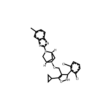 Cc1ccc2nc(N3C[C@@H]4C[C@H]3C[C@H]4OCC3=C(C4CC4)ONC3c3c(Cl)cccc3Cl)sc2c1